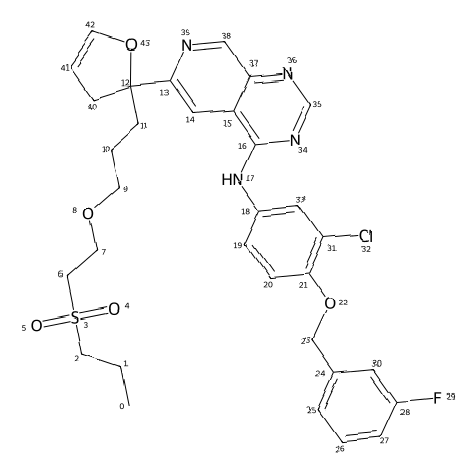 CCCS(=O)(=O)CCOCCCC1(c2cc3c(Nc4ccc(OCc5cccc(F)c5)c(Cl)c4)ncnc3cn2)CC=CO1